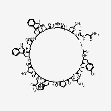 CCCC[C@H]1C(=O)N(C)[C@@H](CCCC)C(=O)N[C@@H](CCN)C(=O)N[C@H](C(=O)NCC(N)=O)CSCC(=O)N[C@@H](Cc2ccc(O)cc2)C(=O)N(C)[C@@H](C)C(=O)N[C@@H](CC(N)=O)C(=O)N2CCC[C@H]2C(=O)N[C@@H](Cc2cnc[nH]2)C(=O)N[C@@H](CCC(N)=O)C(=O)N2C[C@H](O)C[C@H]2C(=O)N[C@@H](Cc2c[nH]c3ccccc23)C(=O)N[C@@H](CO)C(=O)N[C@@H](Cc2c[nH]c3ccccc23)C(=O)N1C